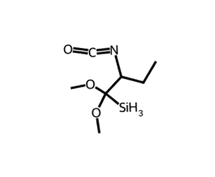 CCC(N=C=O)C([SiH3])(OC)OC